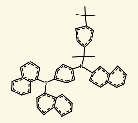 CC(C)(C)c1ccc(C(C)(C)N(c2ccc(N(c3cccc4ccccc34)c3cccc4ccccc34)cc2)c2ccc3ccccc3c2)cc1